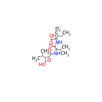 CCC(C)[C@H](NC(=O)[C@@H](NC(=O)C1OC(O)C1C(C)C)C(C)C)C(=O)O